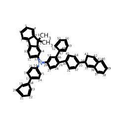 CC1(C)c2ccccc2-c2ccc(N(c3ccc(-c4ccccc4)cc3)c3ccc(-c4ccc(C5C=c6ccccc6=CC5)cc4)c(-c4ccccc4)c3)cc21